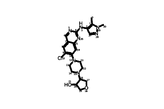 Cc1c(Nc2ncc3cc(Cl)c(N4CCN(C5COCC5O)CC4)cc3n2)cnn1C